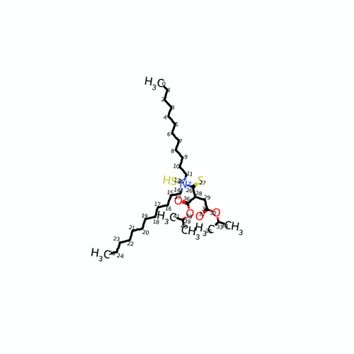 CCCCCCCCCCCC[N+](S)(CCCCCCCCCCCC)C(=S)C(CC(=O)OC(C)C)C(=O)OC(C)C